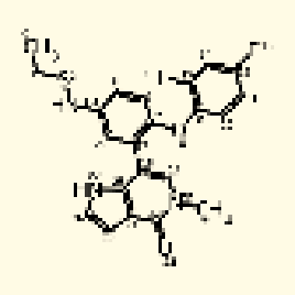 CCSNc1ccc(Oc2ccc(F)cc2F)c(-c2cn(C)c(=O)c3cc[nH]c23)c1